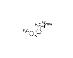 C/C(=N\[S@+]([O-])C(C)(C)C)c1ccc2sc3ccc(C(F)(F)F)cc3c2c1